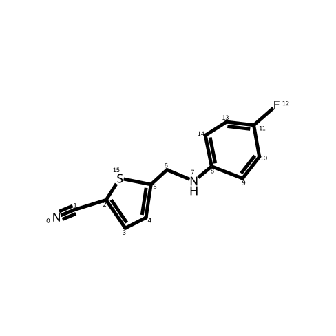 N#Cc1ccc(CNc2ccc(F)cc2)s1